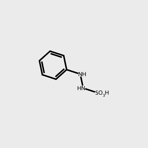 O=S(=O)(O)NNc1ccccc1